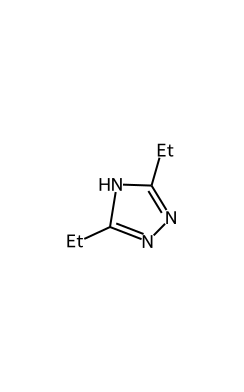 CCc1nnc(CC)[nH]1